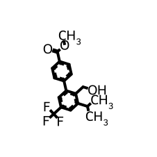 COC(=O)c1ccc(-c2cc(C(F)(F)F)cc(C(C)C)c2CO)cc1